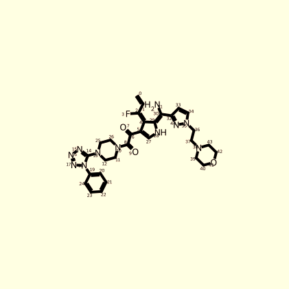 C=C/C(F)=c1/c(C(=O)C(=O)N2CCN(c3nnnn3-c3ccccc3)CC2)c[nH]/c1=C(/N)c1ccn(CCN2CCOCC2)n1